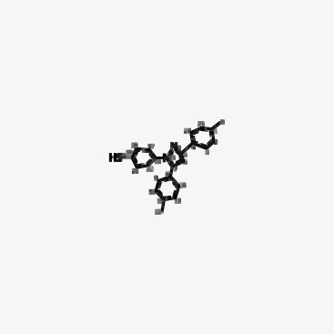 Cc1ccc(-c2cc(-c3ccc(C)cc3)n(-c3ccc(S)cc3)n2)cc1